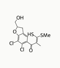 CSC(S)=C(C)C(=O)c1cc2c(c(Cl)c1Cl)OC(CO)C2